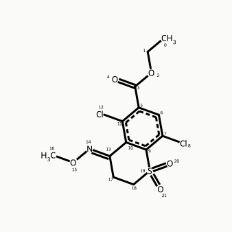 CCOC(=O)c1cc(Cl)c2c(c1Cl)C(=NOC)CCS2(=O)=O